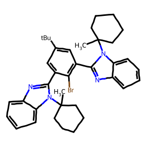 CC(C)(C)c1cc(-c2nc3ccccc3n2C2(C)CCCCC2)c(Br)c(-c2nc3ccccc3n2C2(C)CCCCC2)c1